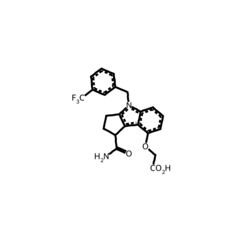 NC(=O)C1CCc2c1c1c(OCC(=O)O)cccc1n2Cc1cccc(C(F)(F)F)c1